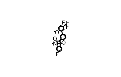 CNC(=O)c1c(-c2ccc(F)cc2)oc2ccc(-c3cc(C(F)(F)F)ccc3OC)cc12